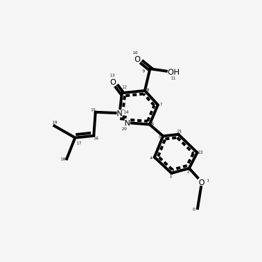 COc1ccc(-c2cc(C(=O)O)c(=O)n(CC=C(C)C)n2)cc1